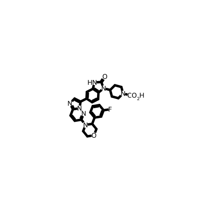 O=C(O)N1CCC(n2c(=O)[nH]c3cc(-c4cnc5ccc(N6CCOCC6c6cccc(F)c6)nn45)ccc32)CC1